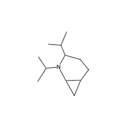 CC(C)C1CCC2CC2N1C(C)C